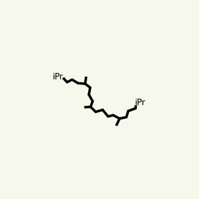 CC(C)CCCC(C)CCCCC(C)CCCC(C)CCCC(C)C